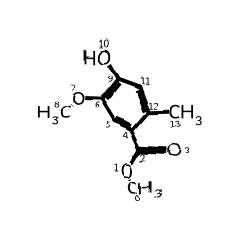 COC(=O)c1cc(OC)c(O)cc1C